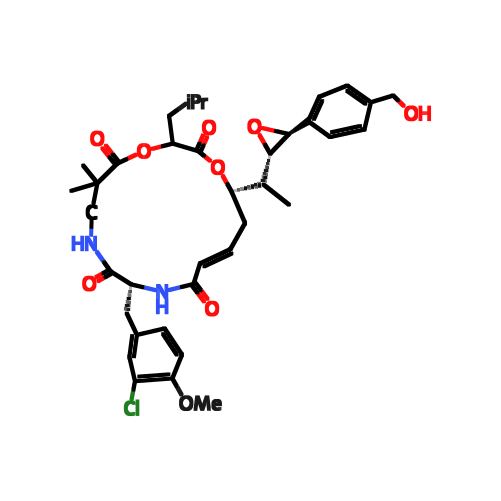 COc1ccc(C[C@H]2NC(=O)/C=C/C[C@@H](C(C)[C@@H]3O[C@H]3c3ccc(CO)cc3)OC(=O)C(CC(C)C)OC(=O)C(C)(C)CNC2=O)cc1Cl